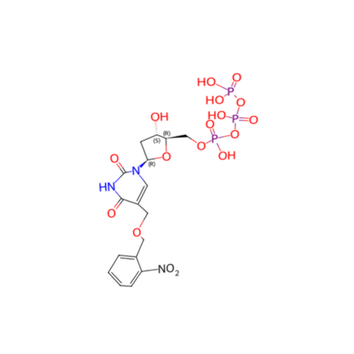 O=c1[nH]c(=O)n([C@H]2C[C@H](O)[C@@H](COP(=O)(O)OP(=O)(O)OP(=O)(O)O)O2)cc1COCc1ccccc1[N+](=O)[O-]